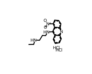 CCNCCCNc1c2ccccc2nc2cccc([N+](=O)[O-])c12.Cl.Cl